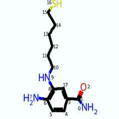 NC(=O)c1ccc(N)c(NCCCCCCS)c1